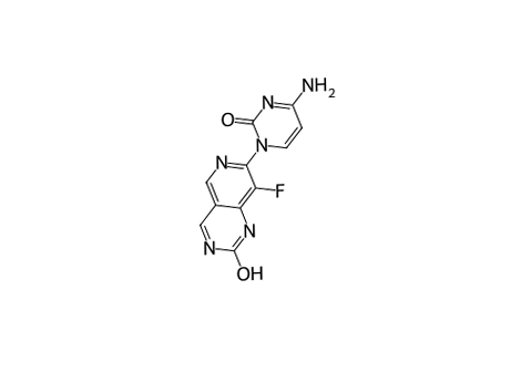 Nc1ccn(-c2ncc3cnc(O)nc3c2F)c(=O)n1